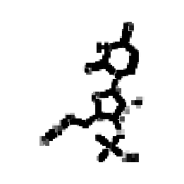 CC(C)(C)[Si](C)(C)O[C@@H]1[C@@H](F)[C@H](n2ccc(=O)[nH]c2=O)O[C@@H]1CN=[N+]=[N-]